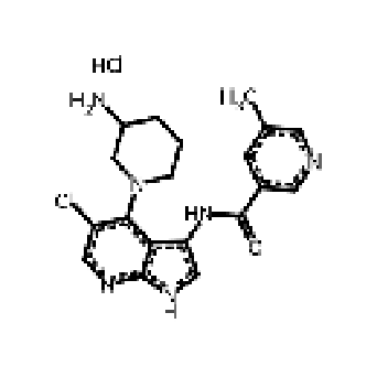 Cc1cncc(C(=O)Nc2c[nH]c3ncc(Cl)c(N4CCCC(N)C4)c23)c1.Cl